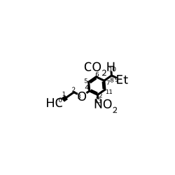 C#CCOc1ccc(C(CC)C(=O)O)cc1[N+](=O)[O-]